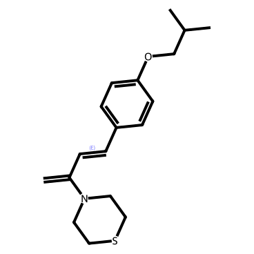 C=C(/C=C/c1ccc(OCC(C)C)cc1)N1CCSCC1